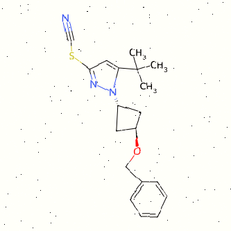 CC(C)(C)c1cc(SC#N)nn1[C@H]1C[C@H](OCc2ccccc2)C1